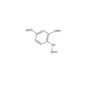 CCCC(C)Pc1ccc(OC)cc1OC